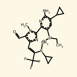 CC[S+]([O-])c1cc(C2CC2)c(N)nc1-c1nc(/C=C(\N(C)C2CC2)C(F)(F)F)c(C=O)n1C